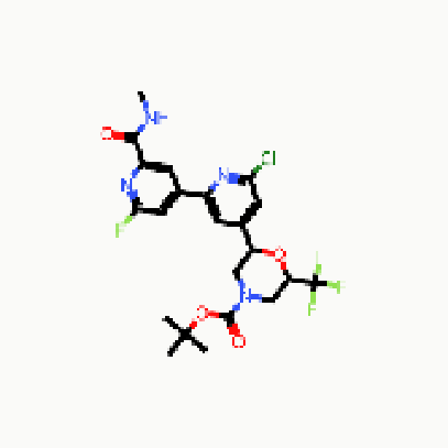 CNC(=O)c1cc(-c2cc(C3CN(C(=O)OC(C)(C)C)CC(C(F)(F)F)O3)cc(Cl)n2)cc(F)n1